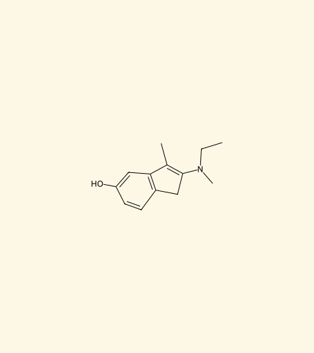 CCN(C)C1=C(C)c2cc(O)ccc2C1